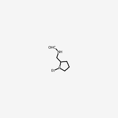 CCN1CCCC1CNC=O